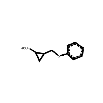 O=C(O)C1C[C]1CSc1ccccc1